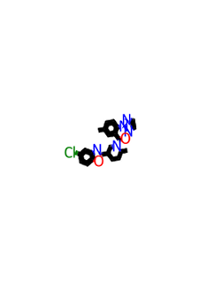 Cc1ccc(-n2nccn2)c(C(=O)N2CC(c3nc4cc(Cl)ccc4o3)CCC2C)c1